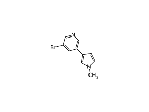 Cn1ccc(-c2cncc(Br)c2)c1